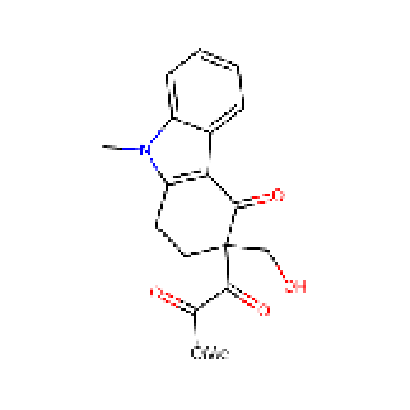 COC(=O)C(=O)C1(CO)CCc2c(c3ccccc3n2C)C1=O